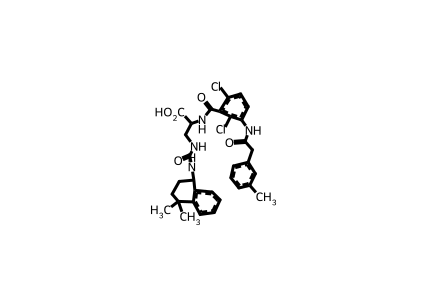 Cc1cccc(CC(=O)Nc2ccc(Cl)c(C(=O)NC(CNC(=O)NC3CCC(C)(C)c4ccccc43)C(=O)O)c2Cl)c1